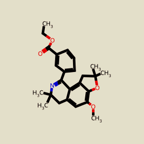 CCOC(=O)c1cccc(C2=NC(C)(C)Cc3cc(OC)c4c(c32)CC(C)(C)O4)c1